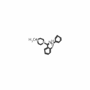 CN1CCN(C(=NNc2ccccc2)c2ccccc2F)CC1